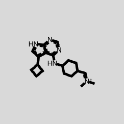 C[N+](C)=CC1CCC(Nc2ncnc3[nH]cc(C4CCC4)c23)CC1